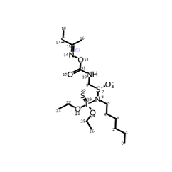 CCCCCCN([S+]([O-])CNC(=O)O/N=C(\C)SC)P(=S)(OCC)OCC